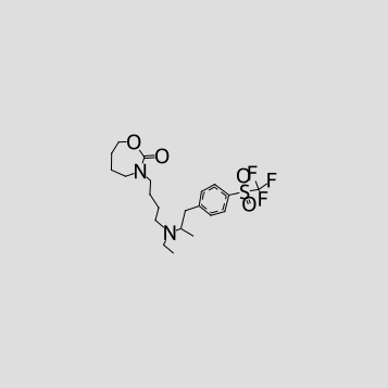 CCN(CCCCN1CCCCOC1=O)C(C)Cc1ccc(S(=O)(=O)C(F)(F)F)cc1